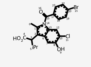 Cc1c(C(C(=O)O)C(C)C)c2cc(O)c(Cl)cc2n1C(=O)c1ccc(Br)cc1